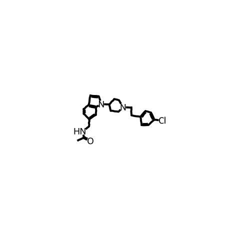 CC(=O)NCc1ccc2ccn(C3CCN(CCc4ccc(Cl)cc4)CC3)c2c1